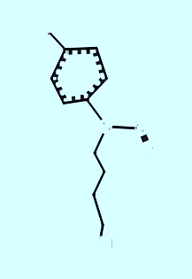 CCCCCN(N=O)c1ccc(Cl)cc1